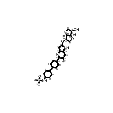 CS(=O)(=O)NC1CC=C(c2ccc(-c3nc4cc(O[C@@H]5CO[C@H]6[C@@H]5OC[C@H]6O)[nH]c4cc3F)cc2)CC1